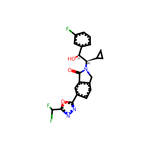 O=C1c2cc(-c3nnc(C(F)F)o3)ccc2CN1[C@H](C1CC1)[C@@H](O)c1cccc(F)c1